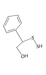 OCC(SS)c1ccccc1